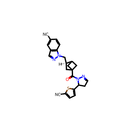 N#Cc1ccc2c(cnn2C[C@@H]2CC3(C(=O)N4N=CCC4c4ccc(C#N)s4)CC2C3)c1